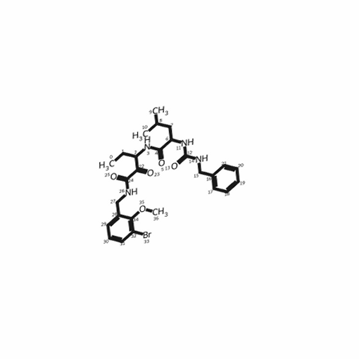 CCC(NC(=O)C(CC(C)C)NC(=O)NCc1ccccc1)C(=O)C(=O)NCc1cccc(Br)c1OC